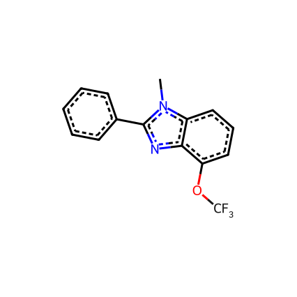 Cn1c(-c2ccccc2)nc2c(OC(F)(F)F)cccc21